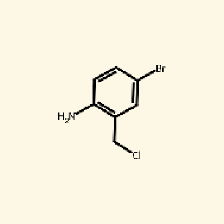 Nc1ccc(Br)cc1CCl